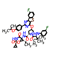 C=C[C@@H]1C[C@]1(NC(=O)[C@@H]1C[C@@H](Oc2nc(-c3ccc(OC(C)C)cc3)nc3c2sc2ccc(F)cc23)CN1C(=O)[C@@H](Nc1cccc(F)c1)C(C)(C)C)C(=O)NS(=O)(=O)C1CC1